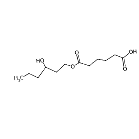 CCCC(O)CCOC(=O)CCCCC(=O)O